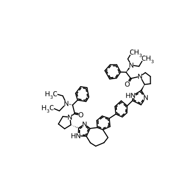 CCN(CC)[C@@H](C(=O)N1CCC[C@H]1c1ncc(-c2ccc(-c3ccc4c(c3)CCCCc3[nH]c([C@@H]5CCCN5C(=O)[C@@H](c5ccccc5)N(CC)CC)nc3-4)cc2)[nH]1)c1ccccc1